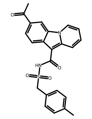 CC(=O)c1ccc2c(C(=O)NS(=O)(=O)Cc3ccc(C)cc3)c3ccccn3c2c1